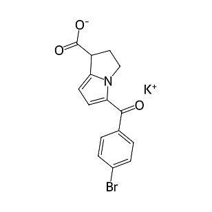 O=C(c1ccc(Br)cc1)c1ccc2n1CCC2C(=O)[O-].[K+]